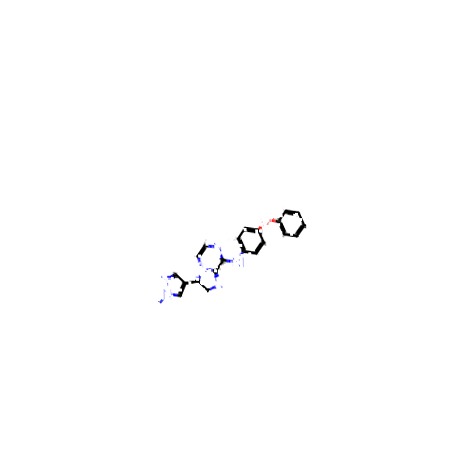 Cn1cc(C2CN=C3C(Nc4ccc(Oc5ccccc5)cc4)=NC=CN32)cn1